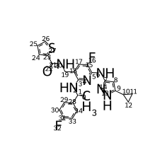 C[C@H](Nc1nc(Nc2cc(C3CC3)[nH]n2)c(F)cc1CNC(=O)c1cccs1)c1ccc(F)cc1